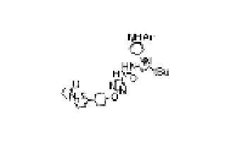 CC(=O)Nc1ccc(-n2nc(C(C)(C)C)cc2NC(=O)Nc2cnc(Oc3ccc(-c4cnc(N5CCCC5=O)s4)cc3)nc2)cc1